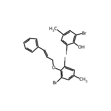 Cc1cc(Br)c(O)c(I)c1.Cc1cc(Br)c(OC/C=C/c2ccccc2)c(I)c1